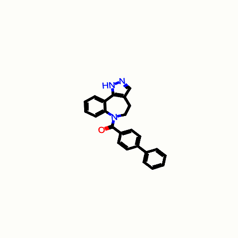 O=C(c1ccc(-c2ccccc2)cc1)N1CCc2cn[nH]c2-c2ccccc21